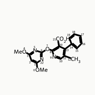 COc1cc(OC)nc(Oc2ncc(C)c(-c3ccccc3)c2C(=O)O)n1